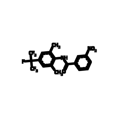 Cc1cc(C(F)(C(F)(F)F)C(F)(F)F)cc(C)c1NC(=O)c1cccc([N+](=O)[O-])c1